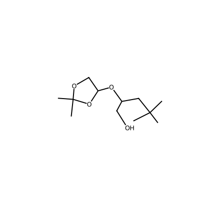 CC(C)(C)CC(CO)OC1COC(C)(C)O1